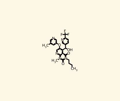 CCCCn1c(=O)c2c(C(O)c3ccc(C(F)(F)F)nc3)c(Oc3cncc(C)c3)cnc2n(C)c1=O